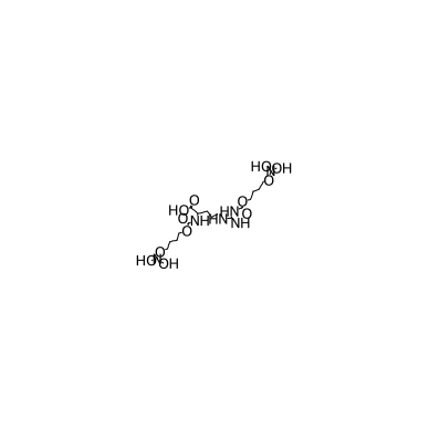 N=C(NCCCC(NC(=O)OCCCCON(O)O)C(=O)O)NC(=O)OCCCCON(O)O